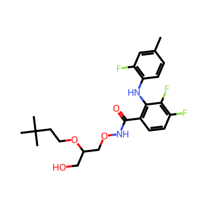 Cc1ccc(Nc2c(C(=O)NOCC(CO)OCCC(C)(C)C)ccc(F)c2F)c(F)c1